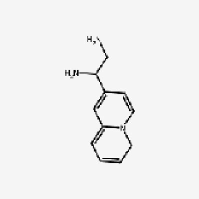 NCC(N)C1=CC2=CC=CCN2C=C1